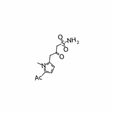 CC(=O)c1ccc(CC(=O)CS(N)(=O)=O)n1C